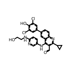 O=Cc1c(C2CC2)nc2ccc(-c3cc(Cl)c(O)c(Cl)c3)cc2c1Nc1ccc(NCCO)nc1